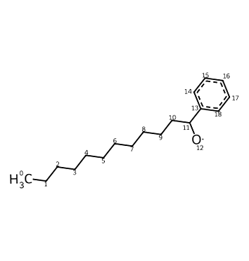 CCCCCCCCCCCC([O])c1ccccc1